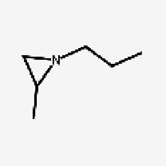 CCCN1CC1C